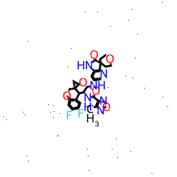 Cc1nonc1C(=O)NC(C(=O)Nc1cnc2c(c1)NC(=O)C21CCOCC1)C1c2cc(F)c(F)cc2OCC12CC2